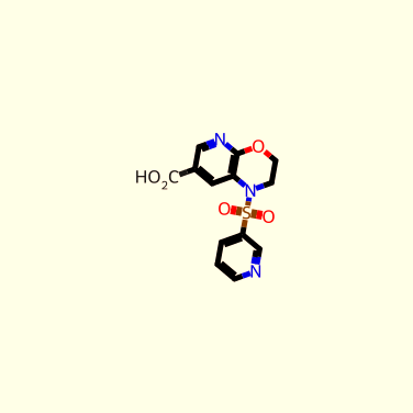 O=C(O)c1cnc2c(c1)N(S(=O)(=O)c1cccnc1)CCO2